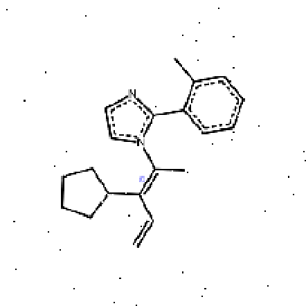 C=C/C(=C(\C)n1ccnc1-c1ccccc1C)C1CCCC1